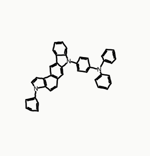 c1ccc(N(c2ccccc2)c2ccc(-n3c4ccccc4c4cc5c(ccc6c5ccn6-c5ccccc5)cc43)cc2)cc1